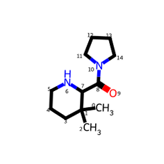 CC1(C)CCCNC1C(=O)N1CCCC1